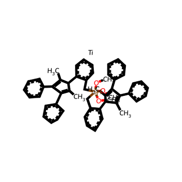 CO[SH](Cc1ccccc1C1C(C)=C(c2ccccc2)C(c2ccccc2)=C1C)(Cc1ccccc1C1C(C)=C(c2ccccc2)C(c2ccccc2)=C1C)(OC)OC.[Ti]